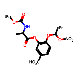 CCCC(Oc1ccc(C(=O)O)cc1OC(=O)C(C)NC(=O)OC(C)(C)C)O[N+](=O)[O-]